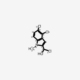 Cn1c(C(O)Cl)cc2c(Cl)c(Cl)ccc21